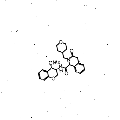 CO[C@@H]1c2ccccc2OC[C@H]1NC(=O)C1c2ccccc2CC(=O)N1CC1CCOCC1